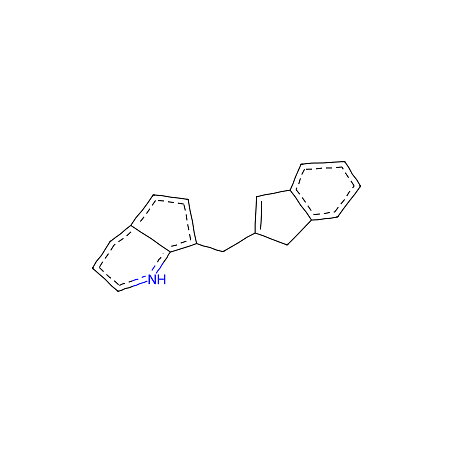 C1=C(Cc2ccc3ccc[nH]c2-3)Cc2ccccc21